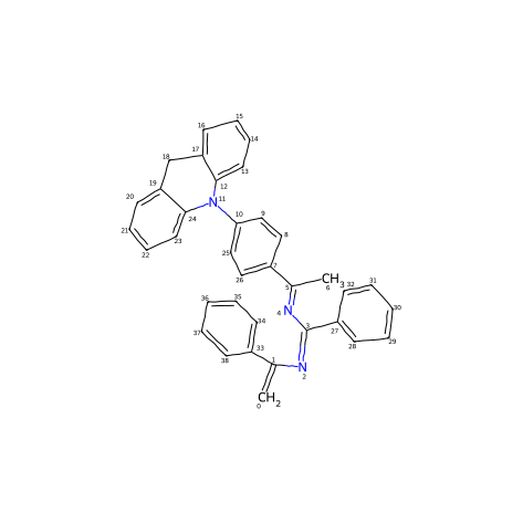 C=C(/N=C(\N=C(/C)c1ccc(N2c3ccccc3Cc3ccccc32)cc1)c1ccccc1)c1ccccc1